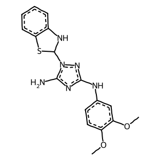 COc1ccc(Nc2nc(N)n(C3Nc4ccccc4S3)n2)cc1OC